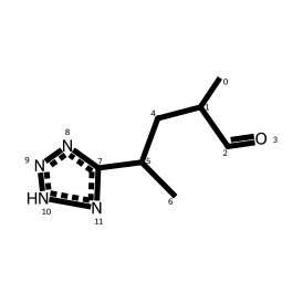 CC(C=O)CC(C)c1nn[nH]n1